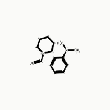 CN(C)c1ccccc1.O=CN1CCCCC1